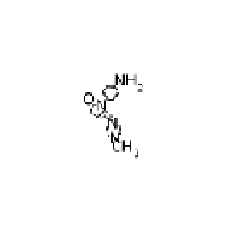 CN1CCN(C[C@@H]2CCC(=O)N2c2ccc(N)cc2)CC1